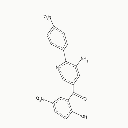 Nc1cc(C(=O)c2cc([N+](=O)[O-])ccc2O)cnc1-c1ccc([N+](=O)[O-])cc1